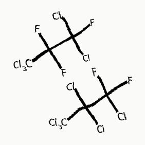 FC(Cl)(Cl)C(F)(F)C(Cl)(Cl)Cl.FC(F)(Cl)C(Cl)(Cl)C(Cl)(Cl)Cl